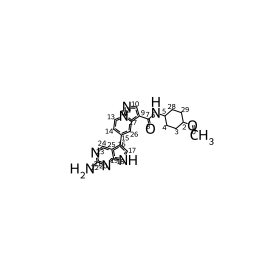 COC1CCC(NC(=O)c2cnn3ccc(-c4c[nH]c5nc(N)ncc45)cc23)CC1